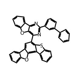 c1ccc(-c2cccc(-c3nc(-c4cc5c6ccccc6oc5c5c4sc4ccccc45)c4oc5ccccc5c4n3)c2)cc1